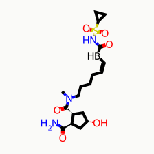 CN(CCCC/C=C\BC(=O)NS(=O)(=O)C1CC1)C(=O)[C@@H]1C[C@H](O)C[C@H]1C(N)=O